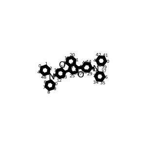 c1ccc(N(c2ccccc2)c2ccc3c(c2)Oc2cccc4c2c-3cc2oc3cc(N(c5ccccc5)c5ccccc5)ccc3c24)cc1